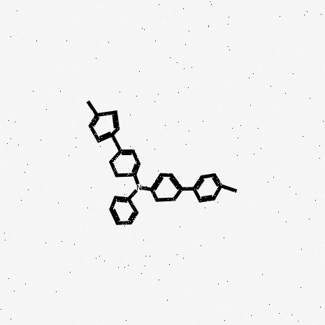 Cc1ccc(C2=CC=C(N(C3=CC=C(c4ccc(C)cc4)CC3)c3ccccc3)CC2)cc1